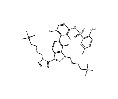 COc1ccc(F)cc1S(=O)(=O)Nc1ncc(F)c(-c2ccc3c(-c4nccn4COCC[Si](C)(C)C)nn(COCC[Si](C)(C)C)c3c2F)c1F